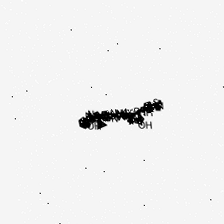 Cc1ncsc1-c1ccc(CNC(=O)[C@@H]2C[C@@H](O)CN2C(=O)[C@H](c2cc(-c3cnc(N4CCC(c5cc6nnc(-c7ccccc7O)cc6n5C5CC5)CC4)nc3)no2)C(C)C)cc1